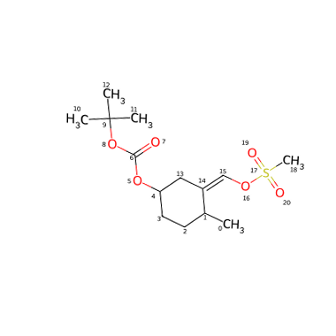 CC1CCC(OC(=O)OC(C)(C)C)C/C1=C/OS(C)(=O)=O